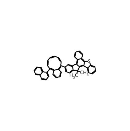 CC1(C)c2ccc(-c3ccccccc(-c4cccc5ccccc45)c4ccccc34)cc2-c2c1c1c3ccccc3sc1c1ccccc21